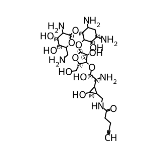 C#CCCC(=O)NCC1C([C@H](N)[C@H](O)OC2[C@@H](CO)O[C@@H](OC3[C@H](O[C@H]4OC(CN)[C@@H](O)[C@H](O)C4N)C(N)C[C@@H](N)[C@H]3O)[C@H]2O)[C@@H]1O